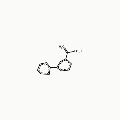 C=C(C(=O)OCC)c1cccc(-c2ccccc2)c1